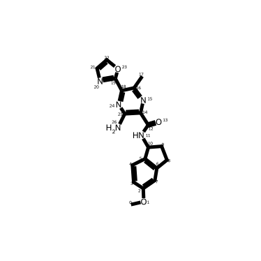 COc1ccc2c(c1)CCC2NC(=O)c1nc(C)c(-c2ncco2)nc1N